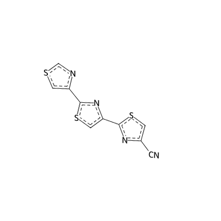 N#Cc1csc(-c2csc(-c3cscn3)n2)n1